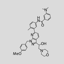 COc1ccc(Cn2nc(C(O)CN3CCOCC3)c3ccc(-c4cc(NC(=O)c5cccc(N(C)C)c5)ccc4C)nc32)cc1